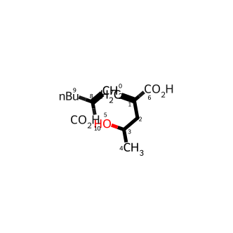 C=C(CC(C)O)C(=O)O.C=C(CCCC)C(=O)O